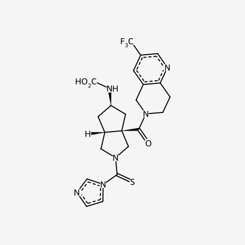 O=C(O)N[C@@H]1C[C@H]2CN(C(=S)n3ccnc3)C[C@@]2(C(=O)N2CCc3ncc(C(F)(F)F)cc3C2)C1